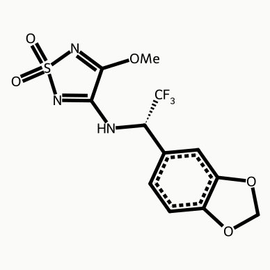 COC1=NS(=O)(=O)N=C1N[C@@H](c1ccc2c(c1)OCO2)C(F)(F)F